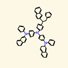 C1=c2ccccc2=CC(N(c2ccccc2)c2ccc(N(c3ccc(C(Cc4ccccc4)c4ccc5ccccc5c4)cc3)c3ccc(N(c4ccccc4)c4ccc5ccccc5c4)cc3)cc2)C1